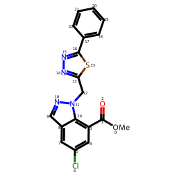 COC(=O)c1cc(Cl)cc2cnn(Cc3nnc(-c4ccccc4)s3)c12